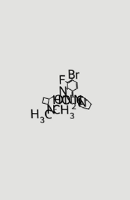 CN(C)[C@H]1CC[C@H]1COc1nc(N2CC3CCC(C2)N3C(=O)O)c2ccc(Br)c(F)c2n1